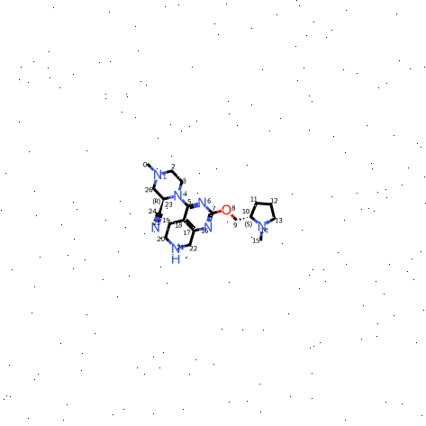 CN1CCN(c2nc(OC[C@@H]3CCCN3C)nc3c2CCNC3)[C@@H](C#N)C1